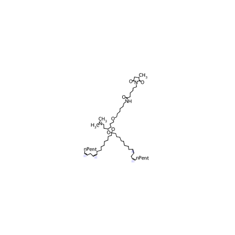 CCCCC/C=C\C/C=C\CCCCCCCCC1(CCCCCCCC/C=C\C/C=C\CCCCC)OC(CCOCCCCCCNC(=O)CCCCCN2C(=O)CC(C)C2=O)C(CCN(C)C)O1